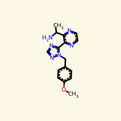 COc1ccc(Cn2ncnc2-c2nccnc2C(C)N)cc1